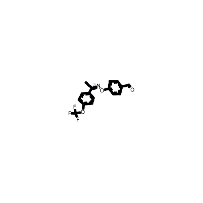 C/C(=N/Oc1ccc(C=O)cc1)c1ccc(OC(F)(F)F)cc1